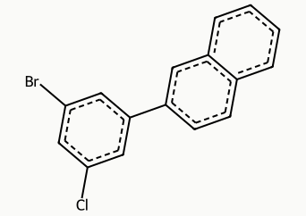 Clc1cc(Br)cc(-c2ccc3ccccc3c2)c1